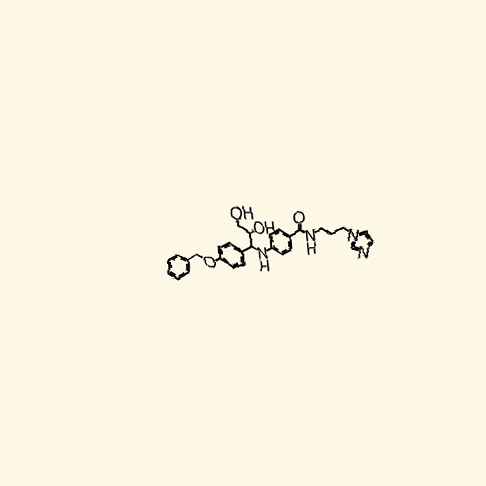 O=C(NCCCn1ccnc1)c1ccc(NC(c2ccc(OCc3ccccc3)cc2)[C@H](O)CO)cc1